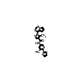 N#Cc1cc(NC(=O)c2cnn(-c3ncnn4cccc34)c2C(F)(F)F)cnc1-n1nccn1